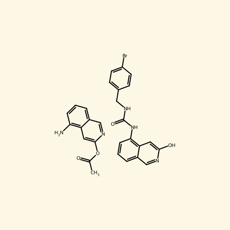 CC(=O)Oc1cc2c(N)cccc2cn1.O=C(NCc1ccc(Br)cc1)Nc1cccc2cnc(O)cc12